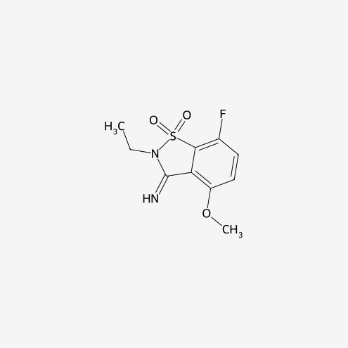 CCN1C(=N)c2c(OC)ccc(F)c2S1(=O)=O